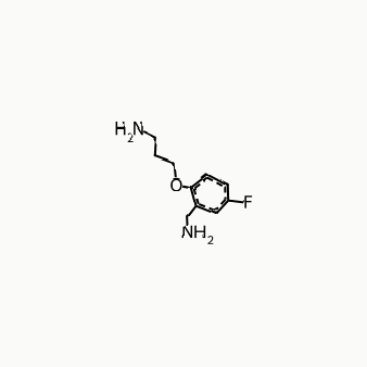 NCCCOc1ccc(F)cc1CN